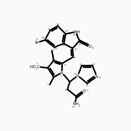 Cc1c(C(=O)O)c(C)n(C(CC(N)=O)n2ccnc2)c1C=C1C(=O)Nc2ccc(Br)cc21